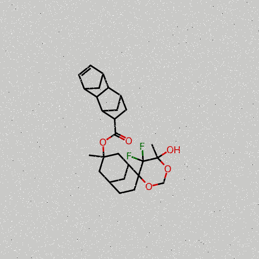 CC1(OC(=O)C2CC3CC2C2C4C=CC(C4)C32)CC2CCC3(OCOC(C)(O)C3(F)F)C(C2)C1